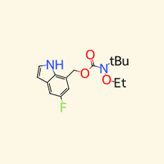 CCON(C(=O)OCc1cc(F)cc2cc[nH]c12)C(C)(C)C